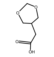 O=C(O)CC1COCOC1